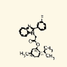 CC(C)[C@@H]1CC[C@@H](C)C[C@H]1OC(=O)Cn1c(-c2cccc(F)c2)nc2ccccc21